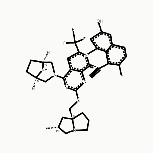 C#Cc1c(F)ccc2cc(O)cc(-n3c(C(F)(F)F)cc4c(N5C[C@H]6CC[C@@H](C5)N6)nc(SC[C@@]56CCCN5C[C@H](F)C6)nc4c3=O)c12